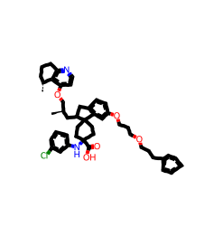 C[C@@H](COc1ccnc2c1[C@H](C)CCC2)CC1Cc2ccc(OCCCOCCCc3ccccc3)cc2C12CCC(Nc1cccc(Cl)c1)(C(=O)O)CC2